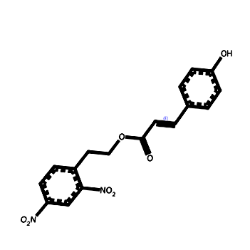 O=C(/C=C/c1ccc(O)cc1)OCCc1ccc([N+](=O)[O-])cc1[N+](=O)[O-]